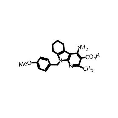 COc1ccc(Cn2c3c(c4c(N)c(C(=O)O)c(C)nc42)CCCC3)cc1